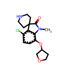 CN1C(=O)C2(CCNCC2)c2c(Cl)ccc(OC3CCOC3)c21